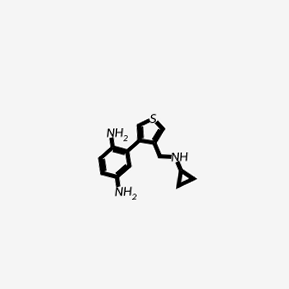 Nc1ccc(N)c(-c2cscc2CNC2CC2)c1